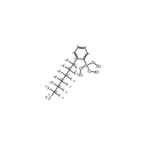 CCO[Si](OCC)(OCC)c1ccccc1C(F)(F)C(F)(F)C(F)(F)C(F)(F)C(F)(F)C(F)(F)C(F)(F)F